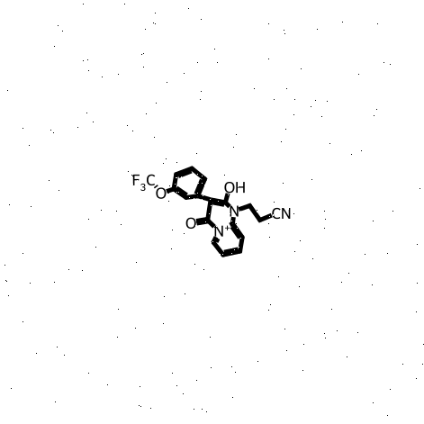 N#CCCn1c(O)c(-c2cccc(OC(F)(F)F)c2)c(=O)[n+]2ccccc12